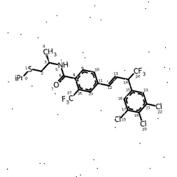 CC(C)SC[C@@H](C)NC(=O)c1ccc(/C=C/C(c2cc(Cl)c(Cl)c(Cl)c2)C(F)(F)F)cc1C(F)(F)F